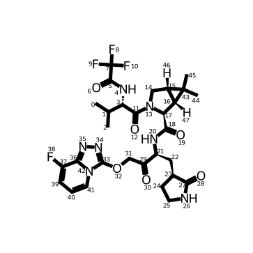 CC(C)[C@H](NC(=O)C(F)(F)F)C(=O)N1C[C@H]2[C@@H]([C@H]1C(=O)N[C@@H](C[C@@H]1CCNC1=O)C(=O)COc1nnc3c(F)cccn13)C2(C)C